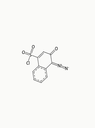 [N-]=[N+]=C1C(=O)C=C(S(=O)(=O)Cl)c2ccccc21